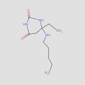 CCCCCNC1(CC)CC(=O)NC(=O)N1